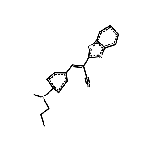 CCCN(C)c1ccc(/C=C(\C#N)c2nc3ccccc3o2)cc1